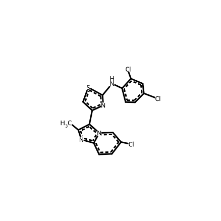 Cc1nc2ccc(Cl)cn2c1-c1csc(Nc2ccc(Cl)cc2Cl)n1